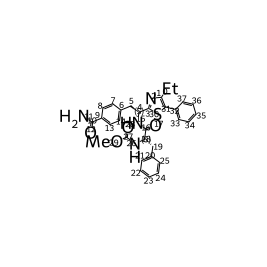 CCc1nc([C@H](Cc2ccc(C(N)=O)cc2)NC(=O)[C@H](Cc2ccccc2)NC(=O)OC)sc1-c1ccccc1